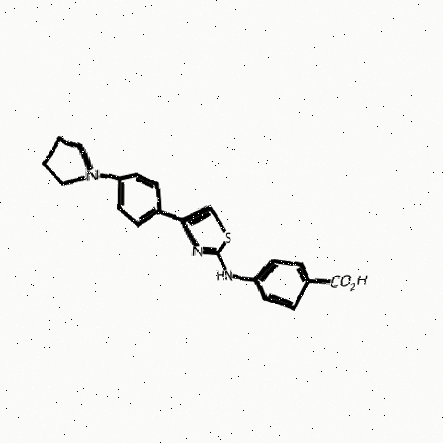 O=C(O)c1ccc(Nc2nc(-c3ccc(N4CCCC4)cc3)cs2)cc1